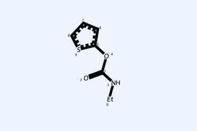 CCNC(=O)Oc1cccs1